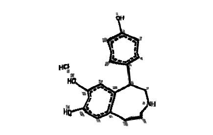 Cl.Oc1ccc(C2CNCCc3cc(O)c(O)cc32)cc1